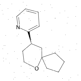 c1ccc([C@@H]2CCOC3(CCCC3)C2)nc1